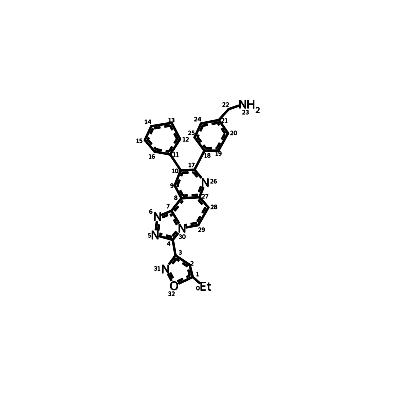 CCc1cc(-c2nnc3c4cc(-c5ccccc5)c(-c5ccc(CN)cc5)nc4ccn23)no1